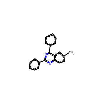 Cc1ccc2nc(-c3ccccc3)nc(-c3ccccc3)c2c1